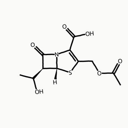 CC(=O)OCC1=C(C(=O)O)N2C(=O)[C@H](C(C)O)[C@H]2S1